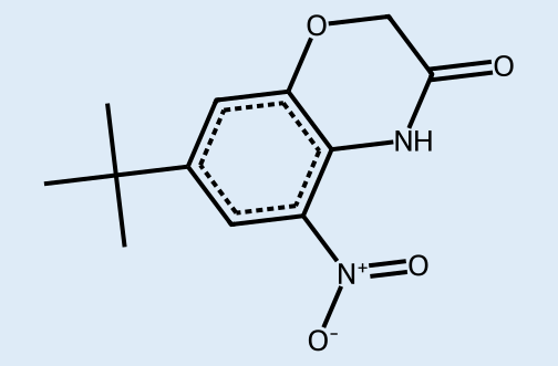 CC(C)(C)c1cc2c(c([N+](=O)[O-])c1)NC(=O)CO2